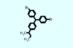 CCC(C)c1ccc(C(c2ccc(Br)cc2)c2ccc(Br)cc2)cc1